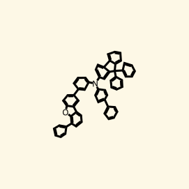 c1ccc(-c2ccc(N(c3cccc(-c4ccc5oc6c(-c7ccccc7)cccc6c5c4)c3)c3ccc4c(c3)C(c3ccccc3)(c3ccccc3)c3ccccc3-4)cc2)cc1